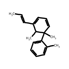 CC=CC1=CC=CC(C)(c2ccccc2C)C1C